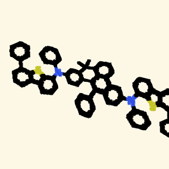 CC1(C)c2cc(N(c3ccccc3)c3cccc4c3sc3c(-c5ccccc5)cccc34)ccc2-c2c(-c3ccccc3)c3ccc(N(c4ccccc4)c4cccc5c4sc4c(-c6ccccc6)cccc45)cc3c3cccc1c23